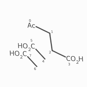 CC(=O)CCC(=O)O.CC(=O)O.CC(=O)O